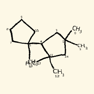 CC1(C)C[C](C2(C)CCCC2)C(C)(C)C1